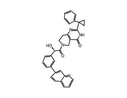 O=C([C@H](O)c1cccc(-c2ccc3cccnc3c2)c1)N1CCc2nc(C3(c4ccccc4)CC3)[nH]c(=O)c2C1